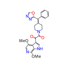 COc1ncc(OC)c2c(C(=O)C(=O)N3CCC(=C(c4ccccc4)c4nnco4)CC3)c[nH]c12